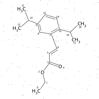 CCOC(=O)C=Cc1cc(C(C)C)ccc1C(C)C